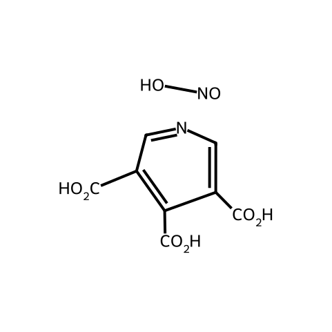 O=C(O)c1cncc(C(=O)O)c1C(=O)O.O=NO